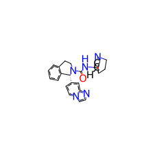 O=C(N[C@@H]1CN2CCC1CC2)N1CCc2ccccc2[C@H]1c1ccn2ccnc2c1